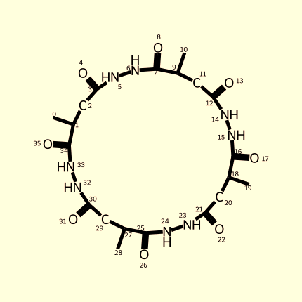 CC1CC(=O)NNC(=O)C(C)CC(=O)NNC(=O)C(C)CC(=O)NNC(=O)C(C)CC(=O)NNC1=O